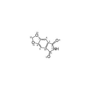 O=C1NC(=O)c2cc3c(cc21)OCO3